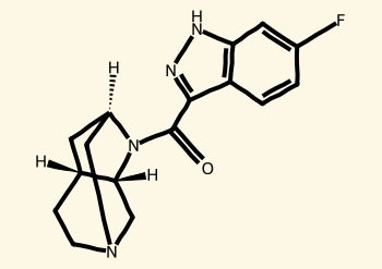 O=C(c1n[nH]c2cc(F)ccc12)N1[C@@H]2C[C@H]3CCN(C2)C[C@H]31